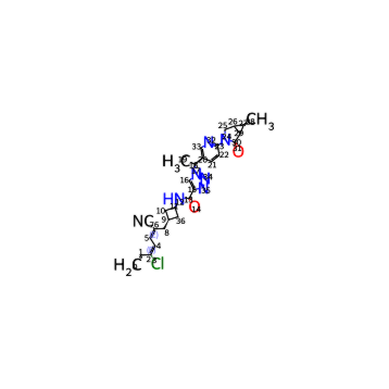 C=C/C(Cl)=C\C=C(\C#N)C[C@H]1C[C@@H](NC(=O)c2cn(C(C)c3ccc(N4CC5C(C)C5C4=O)nc3)nn2)C1